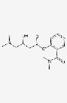 CN(C)CC(O)CC(=O)Oc1ccccc1C(=O)N(C)C